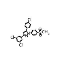 CS(=O)(=O)c1ccc(-n2nc(-c3cc(Cl)cc(Cl)c3)cc2-c2ccc(Cl)cc2)cc1